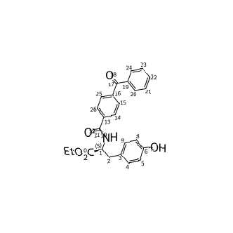 CCOC(=O)[C@H](Cc1ccc(O)cc1)NC(=O)c1ccc(C(=O)c2ccccc2)cc1